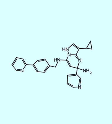 NC1(c2cccnc2)C=C(NCc2ccc(-c3ccccn3)cc2)N2NC=C(C3CC3)C2=N1